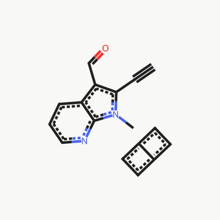 C#Cc1c(C=O)c2cccnc2n1C.c1cc2ccc1-2